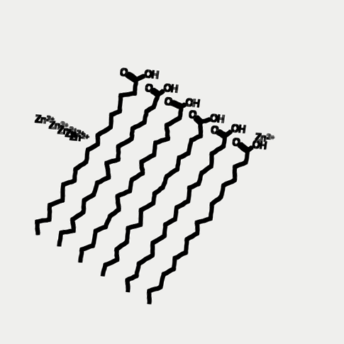 CCCCCCCCCCCCCCCCCC(=O)O.CCCCCCCCCCCCCCCCCC(=O)O.CCCCCCCCCCCCCCCCCC(=O)O.CCCCCCCCCCCCCCCCCC(=O)O.CCCCCCCCCCCCCCCCCC(=O)O.CCCCCCCCCCCCCCCCCC(=O)O.[Zn+2].[Zn+2].[Zn+2].[Zn+2].[Zn+2].[Zn+2]